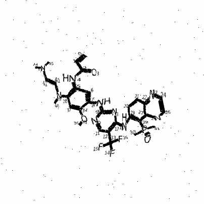 C=CC(=O)Nc1cc(Nc2ncc(C(F)(F)F)c(Nc3ccc4nccnc4c3P(C)(C)=O)n2)c(OC)cc1N(C)CCN(C)C